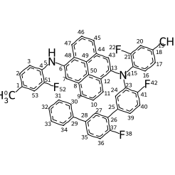 Cc1ccc(Nc2cc3cccc4c(N(c5ccc(C)cc5F)c5cc(-c6cc(-c7ccccc7)ccc6F)ccc5F)cc5cccc2c5c34)c(F)c1